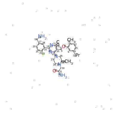 Cc1ccc(C(C)C)cc1OCc1c(C)nc(-c2cc(CN)ccc2F)nc1N1CCN(CC(N)=O)[C@H](C)C1